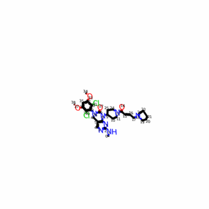 CNc1ncc2c(n1)N(C1CCN(C(=O)/C=C/CN3CCCCC3)CC1)C(=O)N(c1c(Cl)c(OC)cc(OC)c1Cl)C2